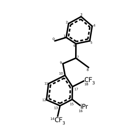 Cc1ccccc1C(C)Cc1ccc(C(F)(F)F)c(C(C)C)c1C(F)(F)F